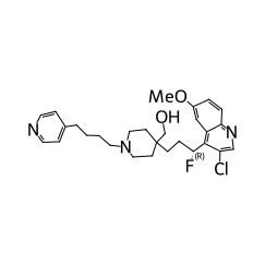 COc1ccc2ncc(Cl)c([C@H](F)CCC3(CO)CCN(CCCCc4ccncc4)CC3)c2c1